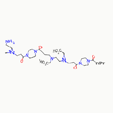 CCCC(=O)N1CCN(C(=O)CCN(CCN(CCC(=O)N2CCN(C(=O)CCN(C)CCN)CC2)CC(=O)O)CC(=O)O)CC1